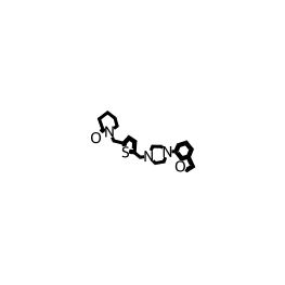 O=C1CCCCN1Cc1ccc(CN2CCN(c3cccc4ccoc34)CC2)s1